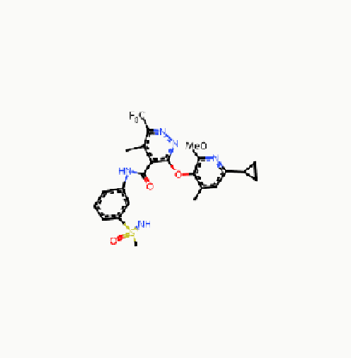 COc1nc(C2CC2)cc(C)c1Oc1nnc(C(F)(F)F)c(C)c1C(=O)Nc1cccc(S(C)(=N)=O)c1